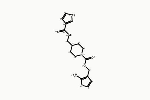 Cc1sccc1COC(=O)N1CCC(CNC(=O)c2cc[nH]c2)CC1